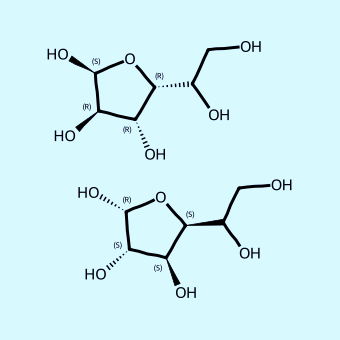 OCC(O)[C@@H]1O[C@@H](O)[C@@H](O)[C@@H]1O.OCC(O)[C@H]1O[C@H](O)[C@H](O)[C@H]1O